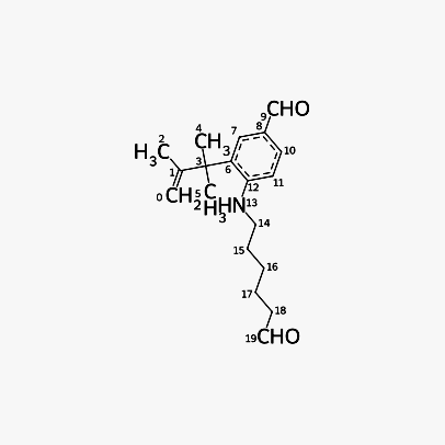 C=C(C)C(C)(C)c1cc(C=O)ccc1NCCCCCC=O